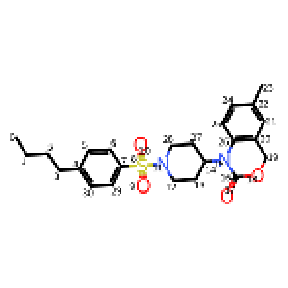 CCCCc1ccc(S(=O)(=O)N2CCC(N3C(=O)OCc4cc(C)ccc43)CC2)cc1